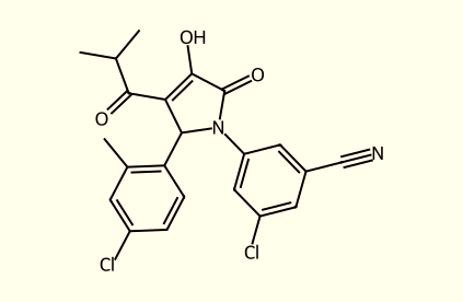 Cc1cc(Cl)ccc1C1C(C(=O)C(C)C)=C(O)C(=O)N1c1cc(Cl)cc(C#N)c1